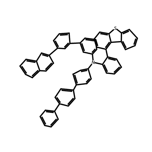 c1ccc(-c2ccc(-c3ccc(N(c4cccc(-c5cccc(-c6ccc7ccccc7c6)c5)c4)c4ccccc4-c4cccc5sc6ccccc6c45)cc3)cc2)cc1